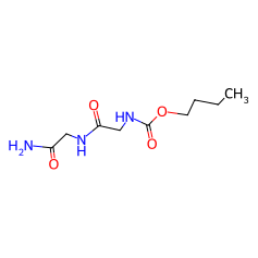 CCCCOC(=O)NCC(=O)NCC(N)=O